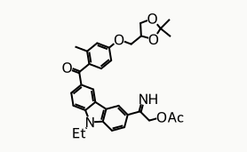 CCn1c2ccc(C(=N)COC(C)=O)cc2c2cc(C(=O)c3ccc(OCC4COC(C)(C)O4)cc3C)ccc21